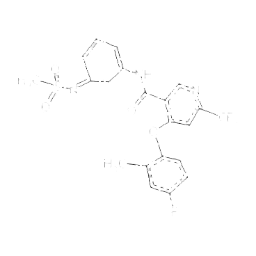 Cc1cc(F)ccc1Oc1cc(C(F)(F)F)ncc1C(=O)NC1=CC=CC(=NS(C)(=O)=O)C1